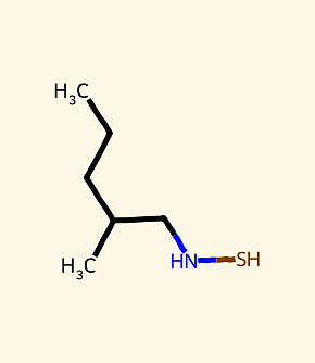 CCCC(C)CNS